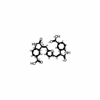 O=C1Nc2ccc(C(=O)O)cc2/C1=C\c1ccc(/C=C2/C(=O)Nc3ccc(C(=O)O)cc32)o1